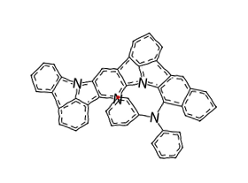 c1ccc(N(c2ccccc2)c2c3ccccc3cc3c4cccc5c6cc7c(nc6n(c23)c54)c2cccc3c4ccccc4n7c32)cc1